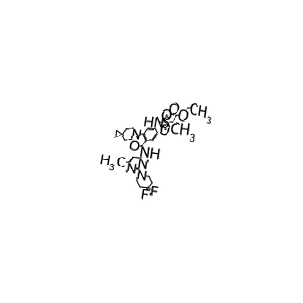 CCOC(=O)C(C)S(=O)(=O)Nc1ccc(C(=O)Nc2cc(C)nc(N3CCC(F)(F)CC3)n2)c(N2CCC3(CC2)CC3)c1